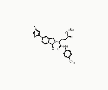 Cn1cnc(-c2ccc3c(c2)CN(C(CCC(=O)OC(C)(C)C)C(=O)Nc2ccc(C(F)(F)F)cc2)C3=O)c1